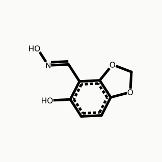 ON=Cc1c(O)ccc2c1OCO2